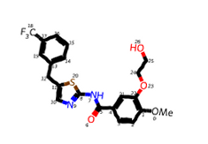 COc1ccc(C(=O)Nc2ncc(Cc3cccc(C(F)(F)F)c3)s2)cc1OCCO